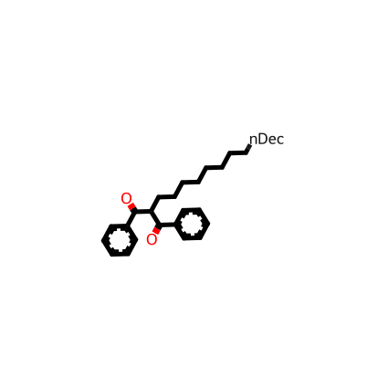 CCCCCCCCCCCCCCCCCCC(C(=O)c1ccccc1)C(=O)c1ccccc1